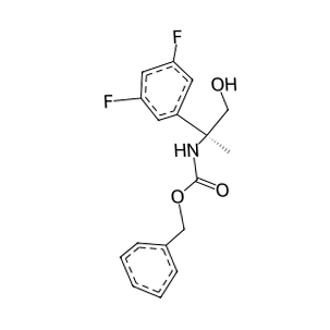 C[C@](CO)(NC(=O)OCc1ccccc1)c1cc(F)cc(F)c1